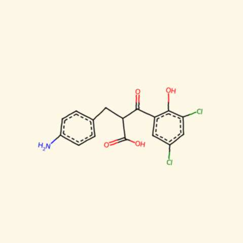 Nc1ccc(CC(C(=O)O)C(=O)c2cc(Cl)cc(Cl)c2O)cc1